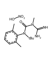 Cc1cccc(C)c1N(C(=O)N(C)C(=N)N)C(C)(C)C.O=[N+]([O-])O